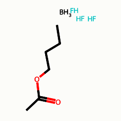 B.CCCCOC(C)=O.F.F.F